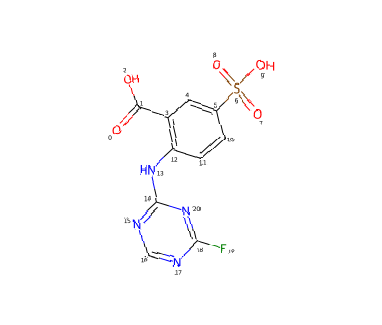 O=C(O)c1cc(S(=O)(=O)O)ccc1Nc1n[c]nc(F)n1